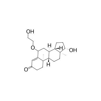 C[C@]12CC[C@H]3[C@@H](CC(OCCO)C4=CC(=O)CC[C@@]43C)[C@@H]1CC[C@@H]2O